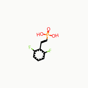 O=P(O)(O)C=Cc1c(F)cccc1F